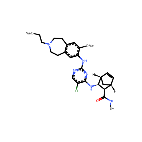 COCCN1CCc2cc(Nc3ncc(Cl)c(N[C@@H]4[C@H](C(=O)NC(C)C)[C@H]5C=C[C@@H]4C5)n3)c(OC)cc2CC1